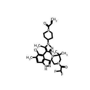 C=CC(=O)N1CCC(n2nc(N3CCN(C(=O)C(F)F)CC3(C)C)c(-c3c(Cl)c(C)cc4[nH]ncc34)c2C)CC1